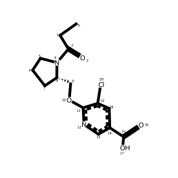 CCC(=O)N1CCC[C@H]1COc1ncc(C(=O)O)cc1Cl